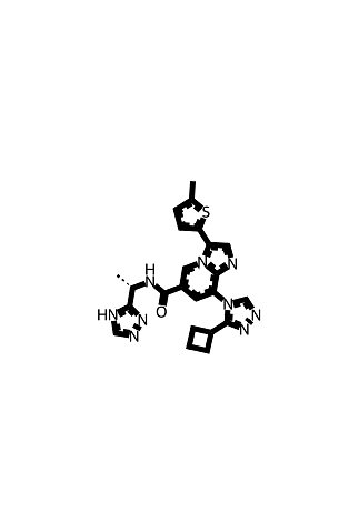 Cc1ccc(-c2cnc3c(-n4cnnc4C4CCC4)cc(C(=O)N[C@@H](C)c4nnc[nH]4)cn23)s1